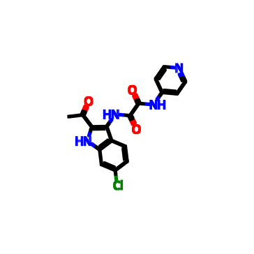 CC(=O)c1[nH]c2cc(Cl)ccc2c1NC(=O)C(=O)Nc1ccncc1